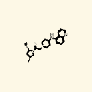 C#[N+][C@@H]1C[C@H](F)CN1C(=O)CN1CCC(Nc2cccc3ncccc23)CC1